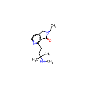 CCN1Cc2ccnc(CCC(C)(C)NC)c2C1=O